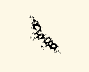 Cc1ccc2c(c1)[C@@H](N)C1(CCN(c3cnc(C(=O)N4CCc5nc(N)sc5C4)c(N)n3)CC1)C2